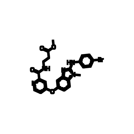 COC(=O)CCNC(=O)c1cc(Oc2ccc3c(c2)nc(Nc2ccc(Br)cc2)n3C)ccn1